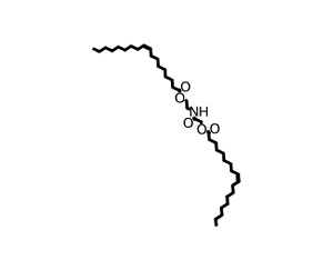 CCCCCCCC/C=C\CCCCCCCC(=O)OCCNC(=O)COC(=O)CCCCCCC/C=C\CCCCCCCC